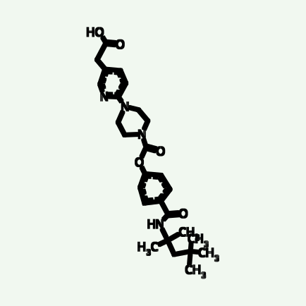 CC(C)(C)CC(C)(C)NC(=O)c1ccc(OC(=O)N2CCN(c3ccc(CC(=O)O)cn3)CC2)cc1